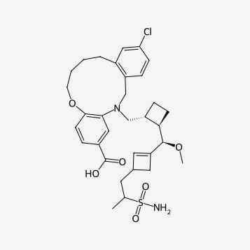 CO[C@@H](C1=CC(CC(C)S(N)(=O)=O)C1)[C@@H]1CC[C@H]1CN1Cc2ccc(Cl)cc2CCCCOc2ccc(C(=O)O)cc21